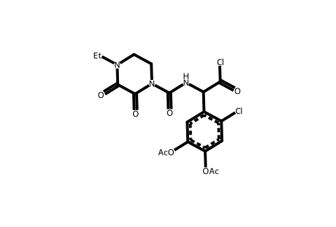 CCN1CCN(C(=O)NC(C(=O)Cl)c2cc(OC(C)=O)c(OC(C)=O)cc2Cl)C(=O)C1=O